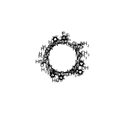 CC(C)C[C@@H]1NC(=O)[C@H](Cc2ccc(O)cc2)NC(=O)[C@H](Cc2c[nH]c3ccccc23)NC(=O)[C@@H](C)N(C)C(=O)[C@H](Cc2ccc(O)cc2)NC(=O)[C@H](Cc2ccccc2)N(C)C(=O)[C@H](C(C)C)NC(=O)[C@H](CCC(=O)O)NC(=O)[C@@H](C)N(C)C(=O)[C@H](C)N(C)C(=O)[C@H](Cc2ccccc2)N(C)C(=O)[C@H](Cc2cc(F)c(F)c(F)c2)NC(=O)CSC[C@@H](C(=O)NCC(N)=O)NC1=O